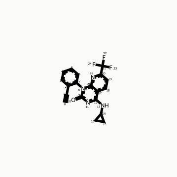 C#Cc1ccccc1-n1c(=O)nc(NC2CC2)c2ccc(C(F)(F)F)nc21